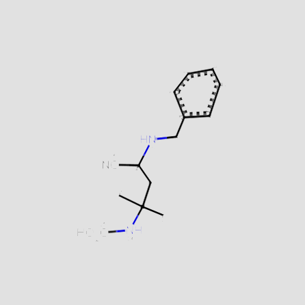 CC(C)(CC(C#N)NCc1ccccc1)NC(=O)O